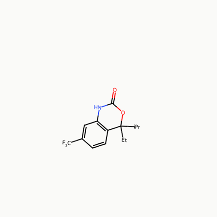 CCC1(C(C)C)OC(=O)Nc2cc(C(F)(F)F)ccc21